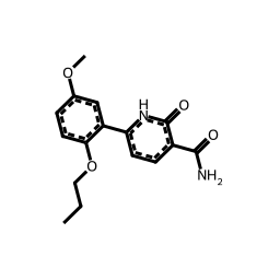 CCCOc1ccc(OC)cc1-c1ccc(C(N)=O)c(=O)[nH]1